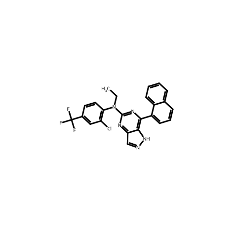 CCN(c1nc(-c2cccc3ccccc23)c2[nH]ncc2n1)c1ccc(C(F)(F)F)cc1Cl